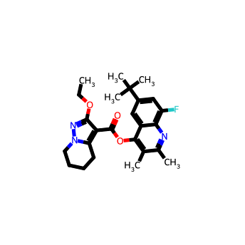 CCOc1nn2c(c1C(=O)Oc1c(C)c(C)nc3c(F)cc(C(C)(C)C)cc13)CCCC2